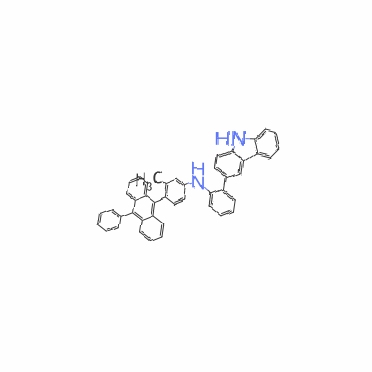 Cc1cc(Nc2ccccc2-c2ccc3[nH]c4ccccc4c3c2)ccc1-c1c2ccccc2c(-c2ccccc2)c2ccccc12